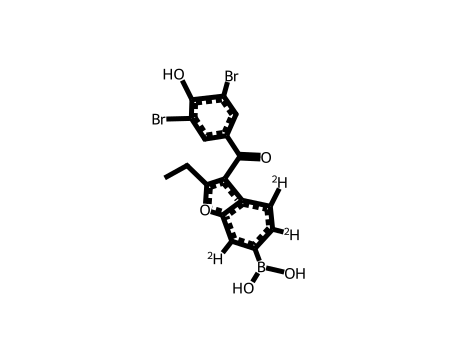 [2H]c1c(B(O)O)c([2H])c2oc(CC)c(C(=O)c3cc(Br)c(O)c(Br)c3)c2c1[2H]